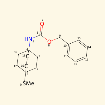 CSC12CCC(NC(=O)OCc3ccccc3)(CC1)CC2